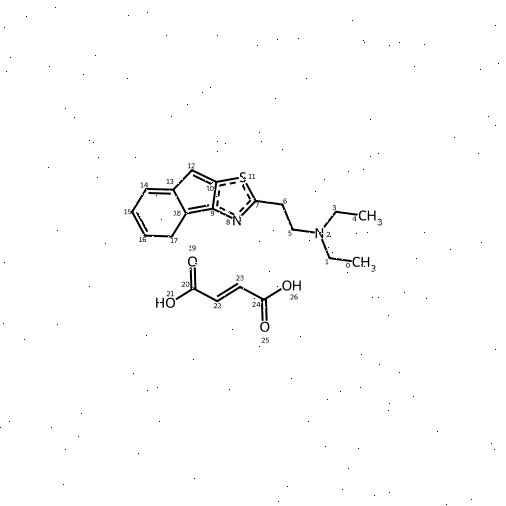 CCN(CC)CCc1nc2c(s1)=CC1=CC=CCC=21.O=C(O)C=CC(=O)O